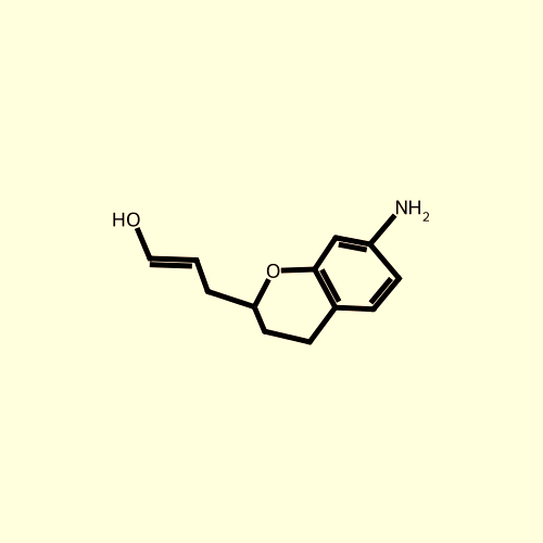 Nc1ccc2c(c1)OC(CC=CO)CC2